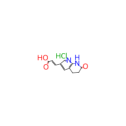 Cl.O=C(O)/C=C/c1cnc2c(c1)CCC(=O)N2